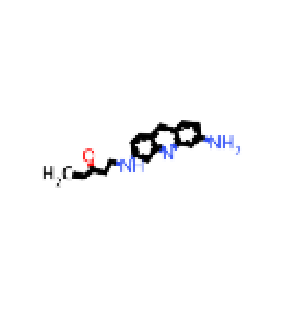 C=CC(=O)CCNc1ccc2cc3ccc(N)cc3nc2c1